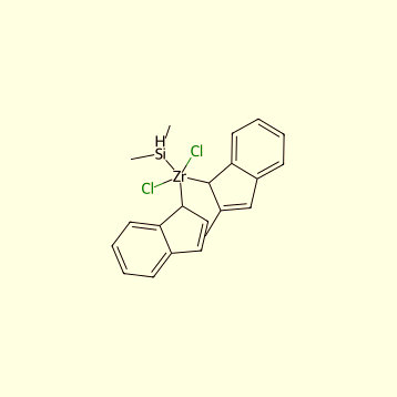 CC1=Cc2ccccc2[CH]1[Zr]([Cl])([Cl])([CH]1C=Cc2ccccc21)[SiH](C)C